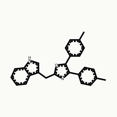 Cc1ccc(-c2nc(Cc3c[nH]c4ccccc34)oc2-c2ccc(C)cc2)cc1